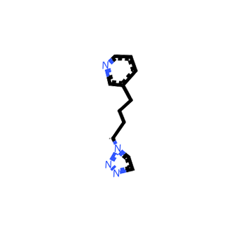 [CH](CCCc1cccnc1)n1ccnn1